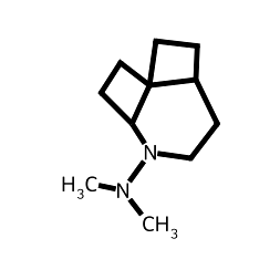 CN(C)N1CCC2CCC23CCC13